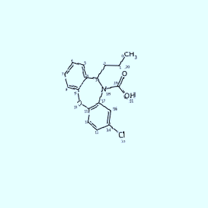 CCCC1c2ccccc2Oc2ccc(Cl)cc2N1C(=O)O